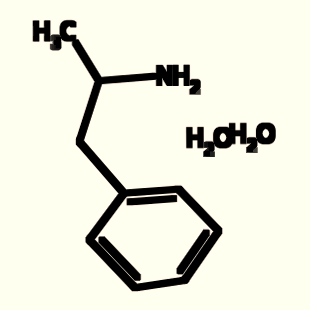 CC(N)Cc1ccccc1.O.O